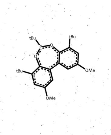 COc1cc(C(C)(C)C)c2op(C(C)(C)C)oc3c(C(C)(C)C)cc(OC)cc3c2c1